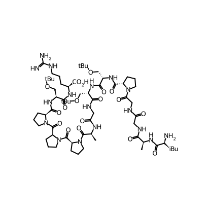 CC[C@H](C)[C@H](N)C(=O)N[C@@H](C)C(=O)NCC(=O)NCC(=O)N1CCC[C@H]1C(=O)N[C@@H](COC(C)(C)C)C(=O)N[C@@H](COC(C)(C)C)C(=O)NCC(=O)N[C@@H](C)C(=O)N1CCC[C@H]1C(=O)N1CCC[C@H]1C(=O)N1CCC[C@H]1C(=O)N[C@@H](COC(C)(C)C)C(=O)N[C@@H](CCCNC(=N)N)C(=O)O